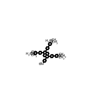 CC(C)(C)c1ccc(-c2cc(-c3ccc(-c4ccc([Si](C)(C)C)cc4)cc3)c3ccc4c(-c5ccc(-c6ccc([Si](C)(C)C)cc6)cc5)cc(-c5ccc(-c6ccc([Si](C)(C)C)cc6)cc5)c5ccc2c3c45)cc1